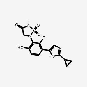 O=C1CN(c2c(O)ccc(-c3cnc(C4CC4)[nH]3)c2F)S(=O)(=O)N1